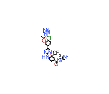 CC(Cn1cnnn1)Oc1cc(-c2cnc(Nc3ccc(C(=O)N4CC5(CN(C)C5)C4)cc3OC(F)(F)F)nc2)ccc1Cl